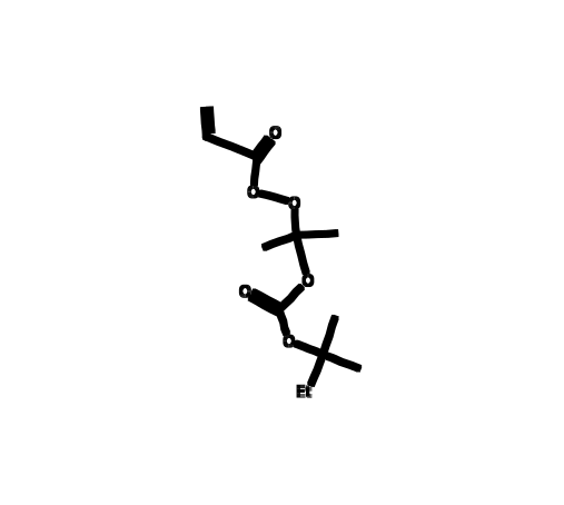 C=CC(=O)OOC(C)(C)OC(=O)OC(C)(C)CC